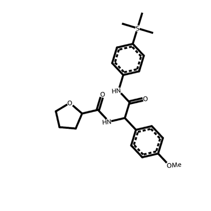 COc1ccc(C(NC(=O)C2CCCO2)C(=O)Nc2ccc(S(C)(C)C)cc2)cc1